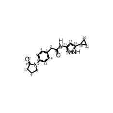 O=C(Cc1ccc(N2CCCC2=O)cc1)Nc1cc(C2CC2)[nH]n1